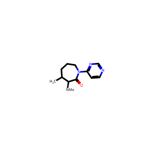 CNC1C(=O)N(c2ccncn2)CCCC1C